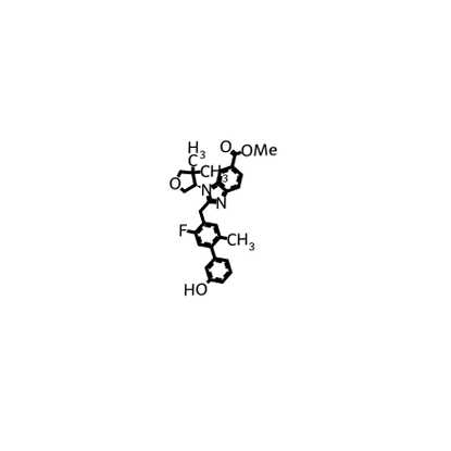 COC(=O)c1ccc2nc(Cc3cc(C)c(-c4cccc(O)c4)cc3F)n([C@@H]3COCC3(C)C)c2c1